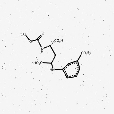 CCOC(=O)c1cccc(NC(C[C@H](NC(=O)OC(C)(C)C)C(=O)O)C(=O)O)c1